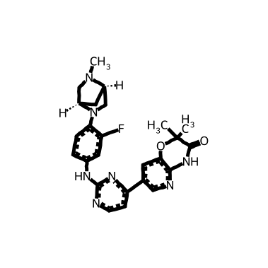 CN1C[C@H]2C[C@@H]1CN2c1ccc(Nc2nccc(-c3cnc4c(c3)OC(C)(C)C(=O)N4)n2)cc1F